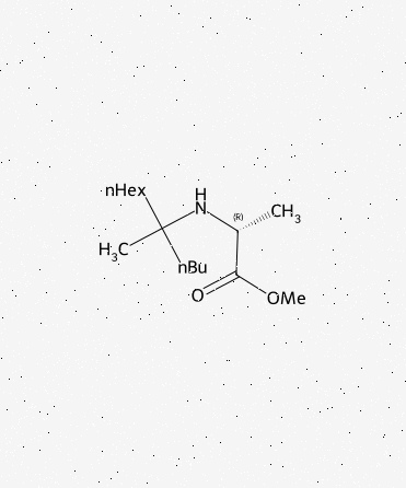 CCCCCCC(C)(CCCC)N[C@H](C)C(=O)OC